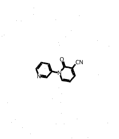 N#Cc1cccn(-c2cccnc2)c1=O